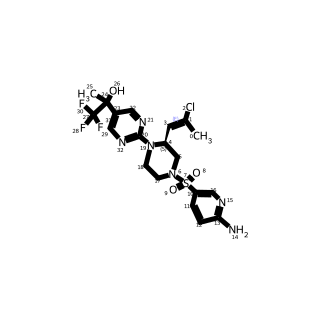 C/C(Cl)=C\[C@H]1CN(S(=O)(=O)c2ccc(N)nc2)CCN1c1ncc(C(C)(O)C(F)(F)F)cn1